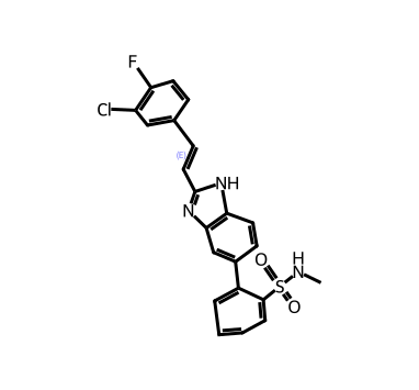 CNS(=O)(=O)c1ccccc1-c1ccc2[nH]c(/C=C/c3ccc(F)c(Cl)c3)nc2c1